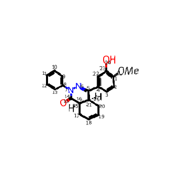 COc1ccc(C2=NN(c3ccccc3)C(=O)[C@@H]3CC=CC[C@H]23)cc1O